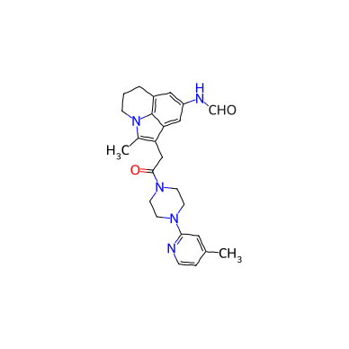 Cc1ccnc(N2CCN(C(=O)Cc3c(C)n4c5c(cc(NC=O)cc35)CCC4)CC2)c1